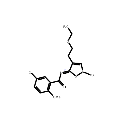 COc1ccc(Cl)cc1C(=O)/N=c1\sn(C(C)(C)C)cc1CCOCC(F)(F)F